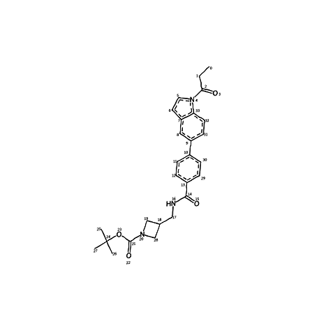 CCC(=O)n1ccc2cc(-c3ccc(C(=O)NCC4CN(C(=O)OC(C)(C)C)C4)cc3)ccc21